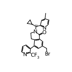 Cc1ccnc([C@H](C2CC2)N2CCc3c(cc(CBr)cc3-c3cccnc3C(F)(F)F)C2=O)c1